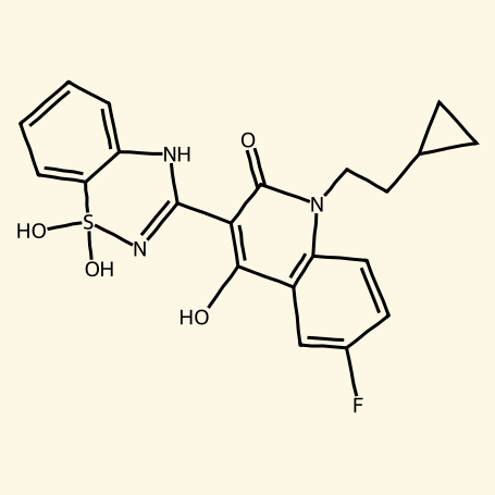 O=c1c(C2=NS(O)(O)c3ccccc3N2)c(O)c2cc(F)ccc2n1CCC1CC1